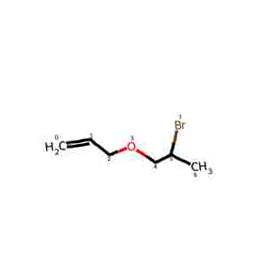 C=CCOCC(C)Br